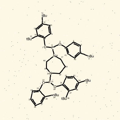 CCCCc1ccc(OP(Oc2ccc(C(C)(C)C)cc2C(C)(C)C)N2CCCN(P(Oc3ccccc3CCCC)Oc3ccc(C(C)(C)C)cc3C(C)(C)C)CC2)cc1